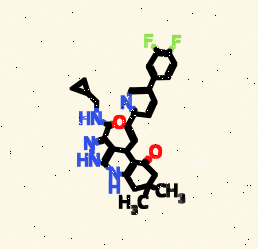 CC1(C)CC(=O)C2=C(C1)Nc1[nH]nc(C(=O)NCC3CC3)c1C2/C=C/c1ccc(-c2ccc(F)c(F)c2)cn1